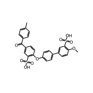 COc1ccc(-c2ccc(Oc3ccc(C(=O)c4ccc(C)cc4)cc3S(=O)(=O)O)cc2)cc1S(=O)(=O)O